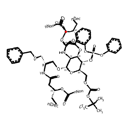 CCCCCCCCCCC[C@H](CC(=O)N[C@H](COCc1ccccc1)CO[C@H]1O[C@H](COC(=O)OC(C)(C)C(Cl)(Cl)Cl)[C@@H](OP(=O)(Oc2ccccc2)Oc2ccccc2)[C@H](OC(=O)C[C@@H](CCCCCCCCCCC)OC(=O)CCCCCCCCC)[C@@H]1NC(=O)OCC(Cl)(Cl)Cl)OC(=O)CCCCCCCCC